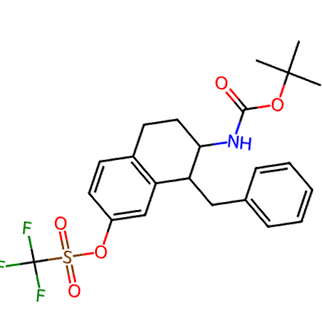 CC(C)(C)OC(=O)NC1CCc2ccc(OS(=O)(=O)C(F)(F)F)cc2C1Cc1ccccc1